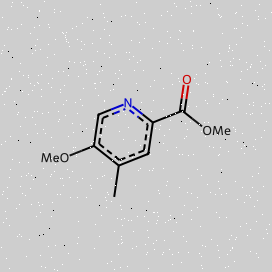 COC(=O)c1cc(C)c(OC)cn1